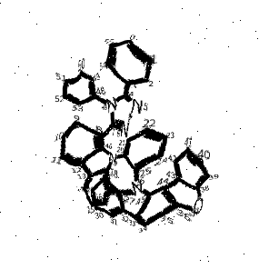 c1ccc(-c2nnc(-c3cccc4c5ccccc5n(-c5ccccc5-n5c6ccccc6c6ccc7oc8ccccc8c7c65)c34)n2-c2ccccc2)cc1